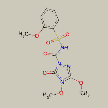 COc1ccccc1S(=O)(=O)NC(=O)n1nc(OC)n(OC)c1=O